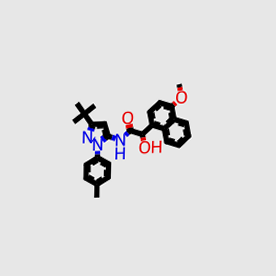 COc1ccc(C(O)C(=O)Nc2cc(C(C)(C)C)nn2-c2ccc(C)cc2)c2ccccc12